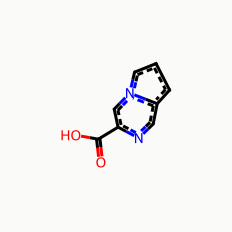 O=C(O)c1cn2cccc2cn1